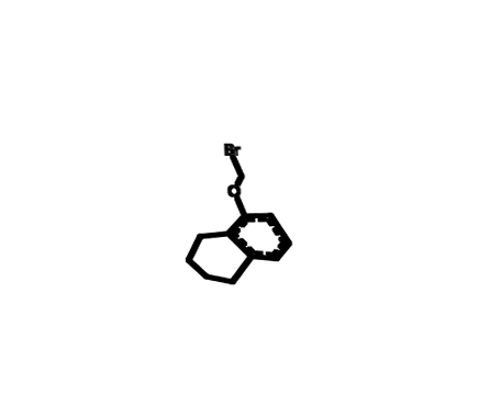 BrCOc1cccc2c1CCCC2